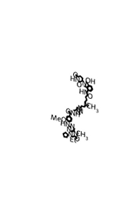 CC[C@@H]1C(=O)N(C)c2cnc(Nc3ccc(C(=O)NCc4cn(CCN(C)CCCC(=O)Nc5cccc6c5CN(C5CCC(=O)NC5=O)C6O)nn4)cc3OC)nc2N1C1CCCC1